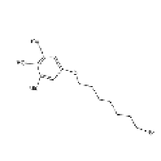 CC(C)(C)c1cc(OCCCCCCCBr)cc(C(C)(C)C)c1O